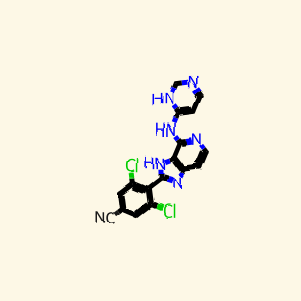 N#Cc1cc(Cl)c(-c2nc3ccnc(NC4=CC=NCN4)c3[nH]2)c(Cl)c1